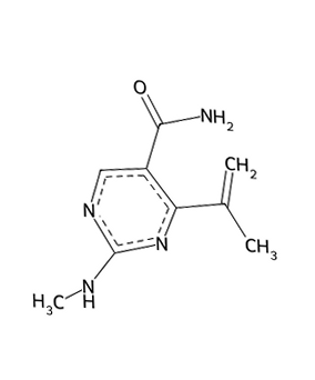 C=C(C)c1nc(NC)ncc1C(N)=O